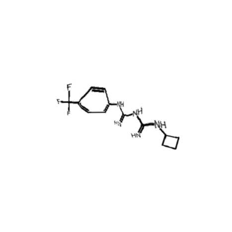 N=C(NC(=N)NC1CCC1)Nc1ccc(C(F)(F)F)cc1